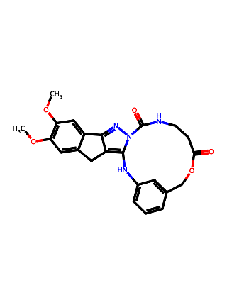 COc1cc2c(cc1OC)-c1nn3c(c1C2)Nc1cccc(c1)COC(=O)CCNC3=O